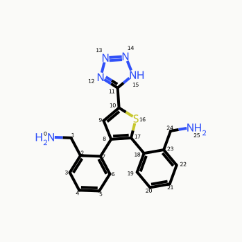 NCc1ccccc1-c1cc(-c2nnn[nH]2)sc1-c1ccccc1CN